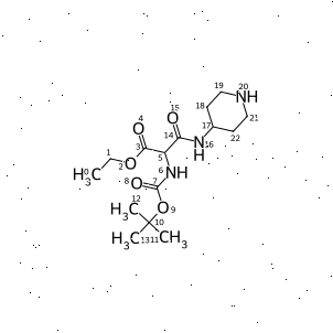 CCOC(=O)C(NC(=O)OC(C)(C)C)C(=O)NC1CCNCC1